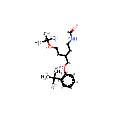 CC(C)(C)OCCC(CCNC=O)COc1ccccc1C(C)(C)C